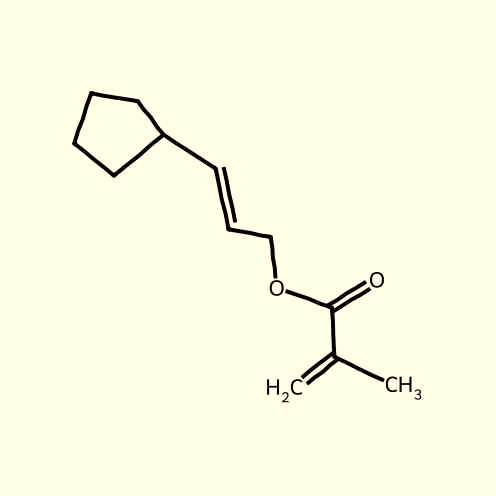 C=C(C)C(=O)OCC=CC1CCCC1